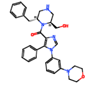 O=C(c1ncn(-c2cccc(N3CCOCC3)c2)c1-c1ccccc1)N1[C@H](CO)CNC[C@H]1Cc1ccccc1